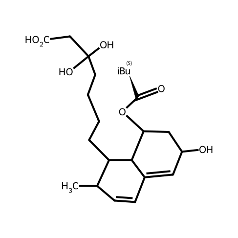 CC[C@H](C)C(=O)OC1CC(O)C=C2C=CC(C)C(CCCCC(O)(O)CC(=O)O)C21